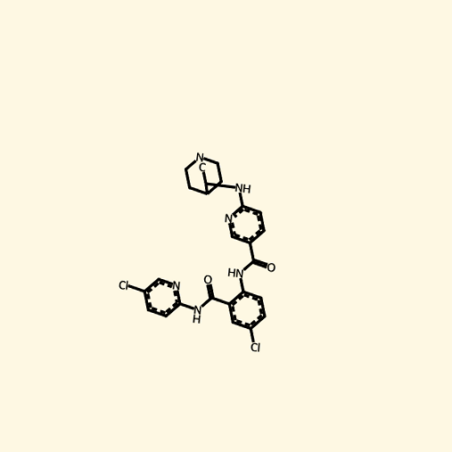 O=C(Nc1ccc(Cl)cc1C(=O)Nc1ccc(Cl)cn1)c1ccc(NC2CN3CCC2CC3)nc1